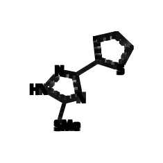 CSc1nc(-c2cccs2)n[nH]1